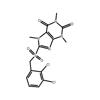 Cn1c(=O)c2c(nc(S(=O)(=O)Cc3cccc(Cl)c3Cl)n2C)n(C)c1=O